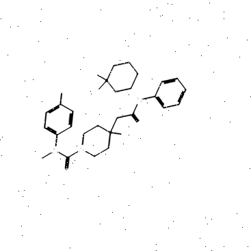 CC(=O)C1(CC(=O)N(c2ccccc2)[C@H]2CCCC(F)(F)C2)CCN(C(=O)N(C)c2ccc(F)cc2)CC1